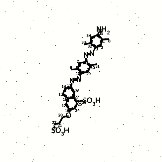 Cc1cc(N=Nc2cc(C)c(N=Nc3ccc4cc(OCCCS(=O)(=O)O)cc(S(=O)(=O)O)c4c3)cc2C)c(C)cc1N